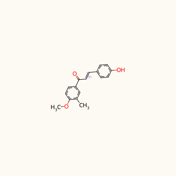 COc1ccc(C(=O)/C=C/c2ccc(O)cc2)cc1C